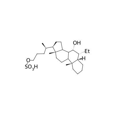 CC[C@H]1[C@@H](O)C2C3CC[C@H]([C@H](C)CCCOS(=O)(=O)O)[C@@]3(C)CCC2[C@@]2(C)CCCC[C@@H]12